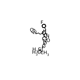 C[Si](C)(C)CCOCON1CCc2c(ncc3c2c(CCCN2CCOCC2)cn3Cc2ccc(F)cc2)C1=O